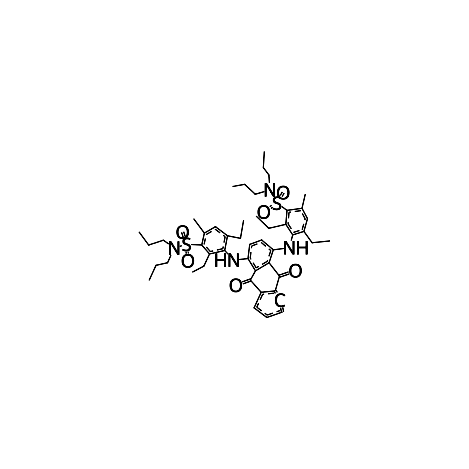 CCCN(CCC)S(=O)(=O)c1c(C)cc(CC)c(Nc2ccc(Nc3c(CC)cc(C)c(S(=O)(=O)N(CCC)CCC)c3CC)c3c2C(=O)c2ccccc2C3=O)c1CC